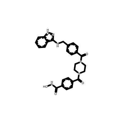 O=C(NO)c1ccc(C(=O)N2CCN(C(=O)c3ccc(CNc4n[nH]c5ccccc45)cc3)CC2)cc1